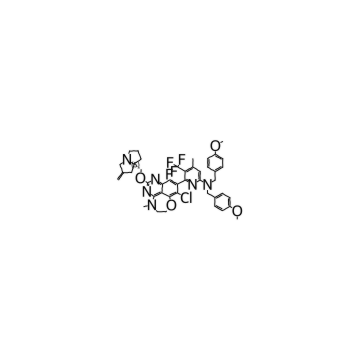 C=C1CN2CCC[C@@]2(COc2nc3c4c(c(Cl)c(-c5nc(N(Cc6ccc(OC)cc6)Cc6ccc(OC)cc6)cc(C)c5C(F)(F)F)c(F)c4n2)OCCN3C)C1